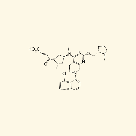 C[C@H]1C[C@H](N(C)c2nc(OC[C@@H]3CCCN3C)nc3c2CCN(c2cccc4cccc(Cl)c24)C3)CN1C(=O)/C=C/C(=O)O